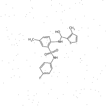 Cc1ccc(NC(O)c2sccc2C)c(S(=O)(=O)Nc2ccc(I)cc2)c1